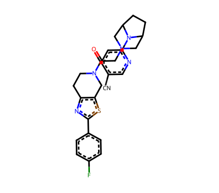 N#Cc1ccc(N2C3CCC2CN(CC(=O)N2CCc4nc(-c5ccc(F)cc5)sc4C2)C3)nc1